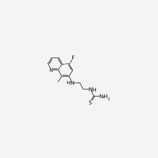 Cc1c(NCCNC(N)=S)cc(F)c2cccnc12